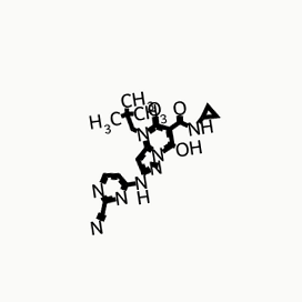 CC(C)(C)Cn1c(=O)c(C(=O)NC2CC2)c(O)n2nc(Nc3ccnc(C#N)n3)cc12